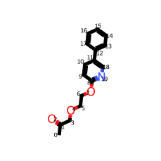 CC(=O)COCCOc1ccc(-c2ccccc2)cn1